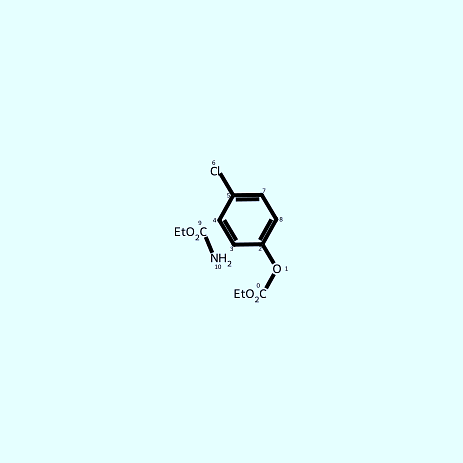 CCOC(=O)Oc1ccc(Cl)cc1.CCOC(N)=O